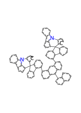 c1ccc2c(c1)-c1c(-c3cccc4c(-c5cccc6ccccc56)c5cccc(-c6cccc7c6-c6ccccc6C76c7ccccc7-n7c8ccccc8c8cccc6c87)c5cc34)cccc1C21c2ccccc2-n2c3ccccc3c3cccc1c32